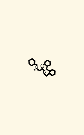 CN(CC(=O)N1CCc2ccccc2C1C1CCCCC1)CC1=CCCCC1